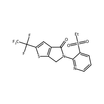 CCS(=O)(=O)c1cccnc1N1Cc2sc(C(F)(F)C(F)(F)F)cc2C1=O